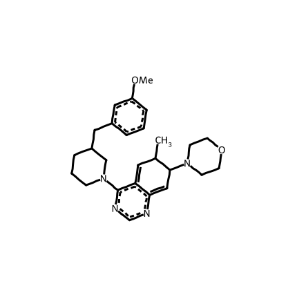 COc1cccc(CC2CCCN(c3ncnc4c3=CC(C)C(N3CCOCC3)C=4)C2)c1